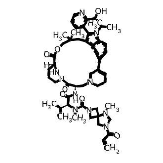 C=CC(=O)N1CN(C)C2(C1)CN(C(=O)N(C)[C@H](C(=O)N[C@H]1CN3CCC=C(C3)c3ccc4c(c3)c(c(-c3cccnc3[C@H](C)O)n4CC)CC(C)(C)COC(=O)[C@@H]3CCCN(N3)C1=O)C(C)C)C2